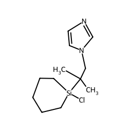 CC(C)(Cn1ccnc1)[Si]1(Cl)CCCCC1